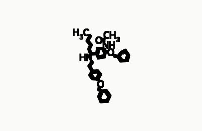 CCCCCC(NCCc1ccc(OCc2ccccc2)cc1)c1ccc(OCc2ccccc2)c(NC(C)=O)c1